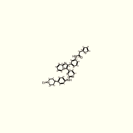 CCN1CCC(c2ccc(Nc3nccc(-c4c(-c5cccc(NC(=O)Cc6cccs6)c5)nc5ccccn45)n3)cc2)CC1